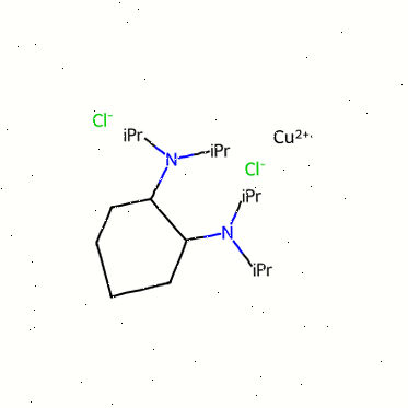 CC(C)N(C(C)C)C1CCCCC1N(C(C)C)C(C)C.[Cl-].[Cl-].[Cu+2]